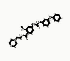 COc1cc(NC(=O)Nc2cccc(Oc3ccccc3)c2)ccc1C(=O)NCCN1CCOCC1